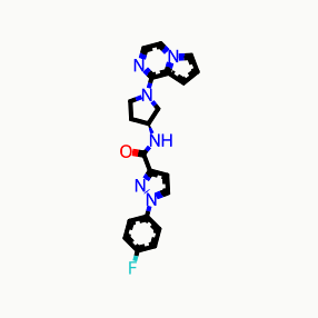 O=C(N[C@H]1CCN(c2nccn3cccc23)C1)c1ccn(-c2ccc(F)cc2)n1